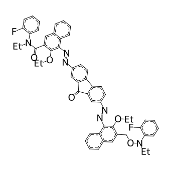 CCOc1c(CON(CC)c2ccccc2F)cc2ccccc2c1N=Nc1ccc2c(c1)C(=O)c1cc(N=Nc3c(OCC)c(C(=O)N(CC)c4ccccc4F)cc4ccccc34)ccc1-2